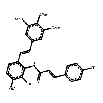 COc1ccc(/C=C/c2cc(OC)c(OC)c(OC)c2)c(NC(=O)/C=C/c2ccc(C(F)(F)F)cc2)c1O